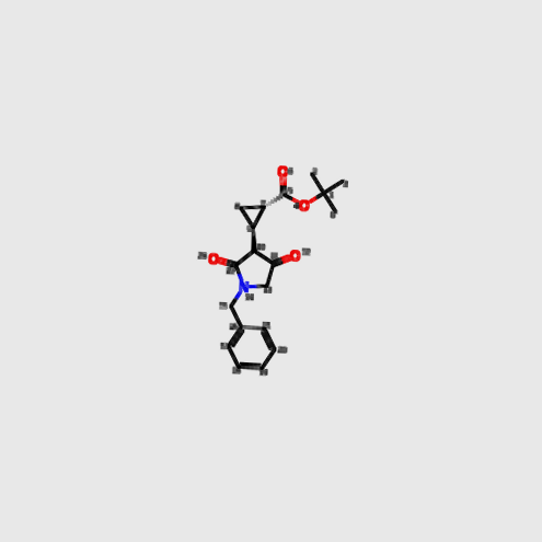 CC(C)(C)OC(=O)[C@H]1C[C@@H]1C1C(=O)CN(Cc2ccccc2)C1=O